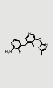 Cc1cnc(Oc2cncc(Cc3ccnc(N)c3F)c2C)s1